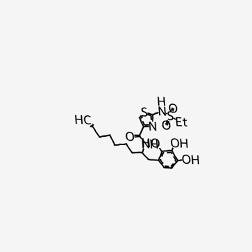 C#CCCCCCC(Cc1ccc(O)c(O)c1O)NC(=O)c1csc(NS(=O)(=O)CC)n1